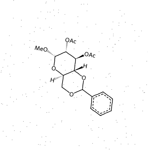 CO[C@H]1O[C@@H]2COC(c3ccccc3)O[C@H]2[C@H](OC(C)=O)[C@H]1OC(C)=O